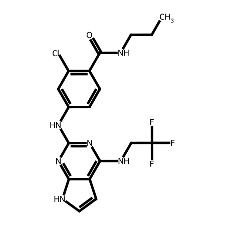 CCCNC(=O)c1ccc(Nc2nc(NCC(F)(F)F)c3cc[nH]c3n2)cc1Cl